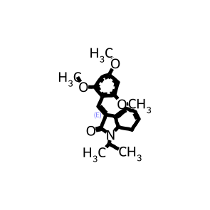 COc1cc(OC)c(/C=C2/C(=O)N(C(C)C)C3CC=CC=C23)c(OC)c1